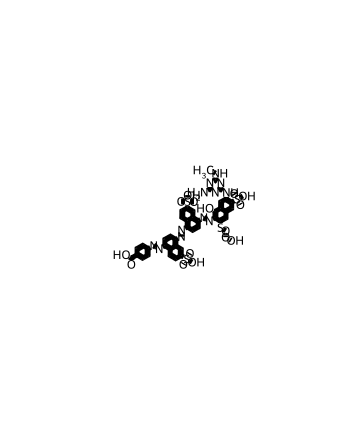 CNc1nc(N)nc(Nc2cc3c(O)c(N=Nc4ccc(N=Nc5ccc(N=Nc6ccc(C(=O)O)cc6)c6ccc(S(=O)(=O)O)cc56)c5ccc(S(=O)(=O)O)cc45)c(SOOO)cc3cc2S(=O)(=O)O)n1